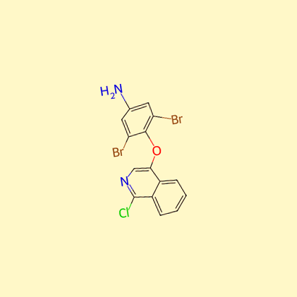 Nc1cc(Br)c(Oc2cnc(Cl)c3ccccc23)c(Br)c1